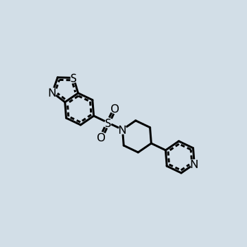 O=S(=O)(c1ccc2ncsc2c1)N1CCC(c2ccncc2)CC1